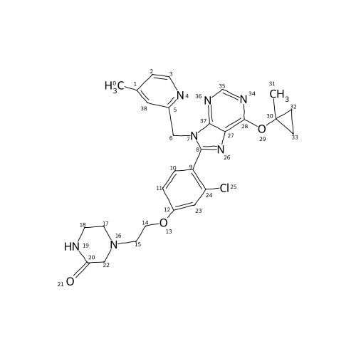 Cc1ccnc(Cn2c(-c3ccc(OCCN4CCNC(=O)C4)cc3Cl)nc3c(OC4(C)CC4)ncnc32)c1